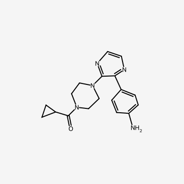 Nc1ccc(-c2nccnc2N2CCN(C(=O)C3CC3)CC2)cc1